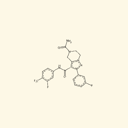 NC(=O)N1CCn2nc(-c3cccc(F)c3)c(C(=O)Nc3ccc(C(F)(F)F)c(F)c3)c2C1